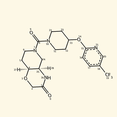 O=C1CO[C@H]2CCN(C(=O)N3CCC(Oc4ccc(C(F)(F)F)cn4)CC3)C[C@H]2N1